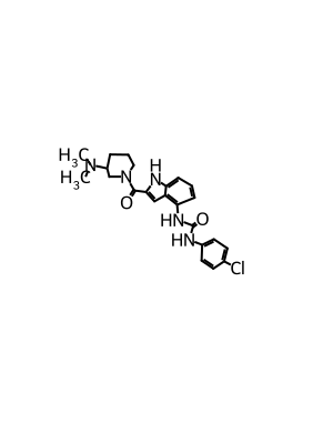 CN(C)C1CCCN(C(=O)c2cc3c(NC(=O)Nc4ccc(Cl)cc4)cccc3[nH]2)C1